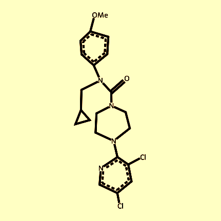 COc1ccc(N(CC2CC2)C(=O)N2CCN(c3ncc(Cl)cc3Cl)CC2)cc1